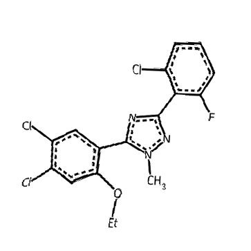 CCOc1cc(Cl)c(Cl)cc1-c1nc(-c2c(F)cccc2Cl)nn1C